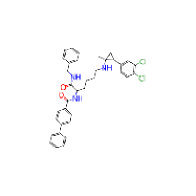 CC1(NCCCCC(NC(=O)c2ccc(-c3ccccc3)cc2)C(=O)NCc2ccccc2)CC1c1ccc(Cl)c(Cl)c1